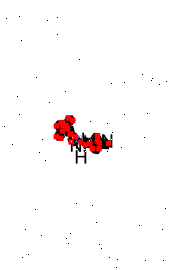 N=C1C=CC(c2ccc3c(-c4ccccc4)c4ccccc4c(-c4ccccc4)c3c2)=C/C1=N/Nc1ccc(-c2c3ccccc3c(-c3cccnc3)c3ccccc23)cc1